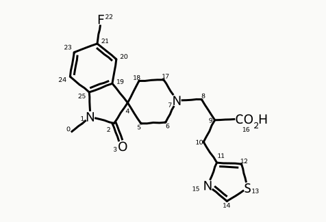 CN1C(=O)C2(CCN(CC(Cc3cscn3)C(=O)O)CC2)c2cc(F)ccc21